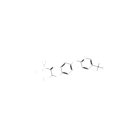 CC(Oc1ccc(Oc2ccc(C(F)(F)F)cn2)cc1)C(=O)N(C)C